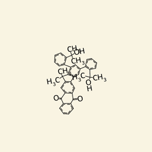 CC(C)(O)c1ccccc1-c1cc(-c2ccccc2C(C)(C)O)c2c(c1)-c1cc3c(cc1C2(C)C)C(=O)c1ccccc1C3=O